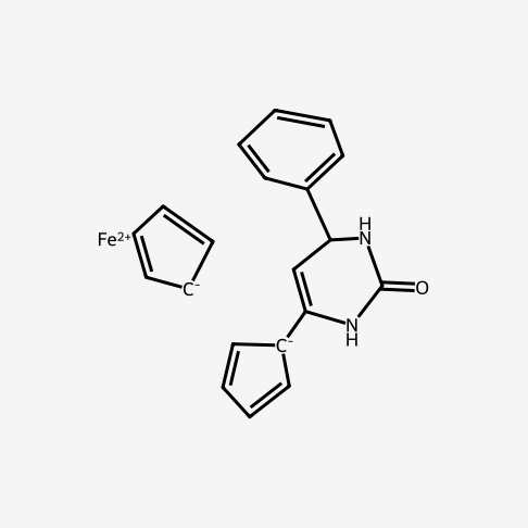 O=C1NC([c-]2cccc2)=CC(c2ccccc2)N1.[Fe+2].c1cc[cH-]c1